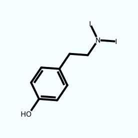 Oc1ccc(CCN(I)I)cc1